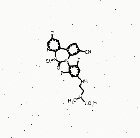 CCN1C(=O)N(c2c(F)cc(NCCN(C)C(=O)O)cc2F)c2cc(C#N)ccc2-c2cc(Cl)cnc21